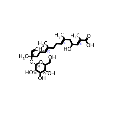 C=C[C@](C)(CC/C=C(\C)CC/C=C(\C)CC(O)/C=C(\C)C(=O)O)O[C@@H]1OC(CO)[C@@H](O)C(O)[C@@H]1O